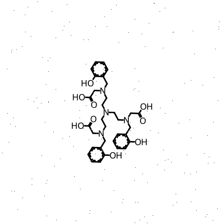 O=C(O)CN(CCN(CCN(CC(=O)O)Cc1ccccc1O)CCN(CC(=O)O)Cc1ccccc1O)Cc1ccccc1O